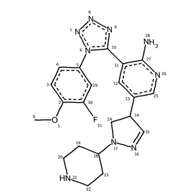 COc1ccc(-n2nnnc2-c2cc(C3C=NN(C4CCNCC4)C3)cnc2N)cc1F